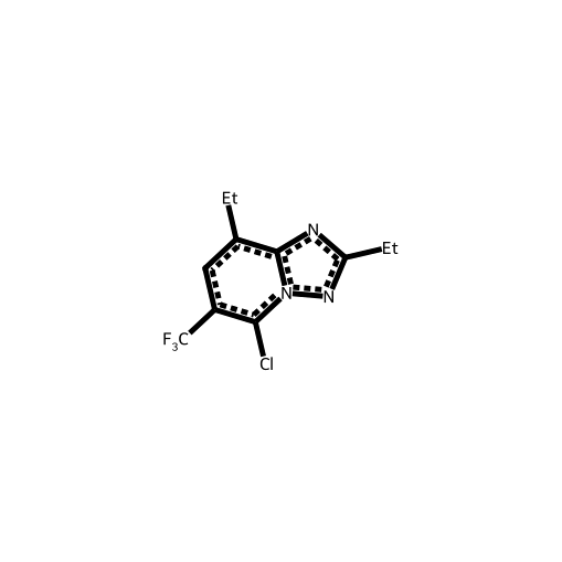 CCc1nc2c(CC)cc(C(F)(F)F)c(Cl)n2n1